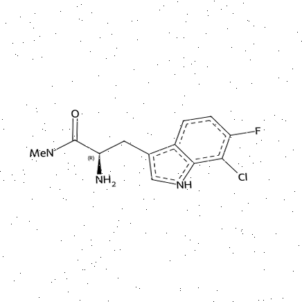 CNC(=O)[C@H](N)Cc1c[nH]c2c(Cl)c(F)ccc12